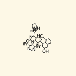 C#Cc1cccc2cc(O)cc(-c3ncc4c(C5C6CC7CCC(N7)[C@H]65)nc(=O)n(-c5c(C(C)C)ncnc5C(C)C)c4c3F)c12